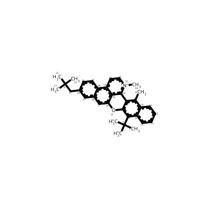 Cc1c2c(c(C(C)(C)C)c3ccccc13)Oc1cc3cc(CC(C)(C)C)ccc3c3cc[n+](C)c-2c13